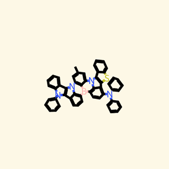 Cc1cc2c3c(c1)-n1c4c(cccc4c4c1c1ccccc1n4-c1ccccc1)B3c1ccc(N(c3ccccc3)c3ccccc3)c3c4sc5ccccc5c4n-2c13